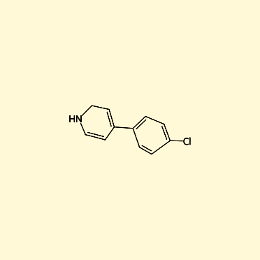 Clc1ccc(C2=CCNC=C2)cc1